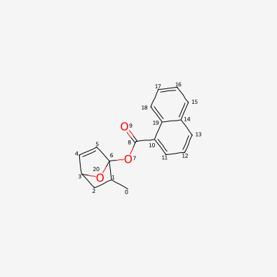 CC1CC2C=CC1(OC(=O)c1cccc3ccccc13)O2